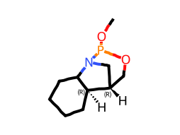 COP1OC[C@H]2CN1C1CCCC[C@@H]12